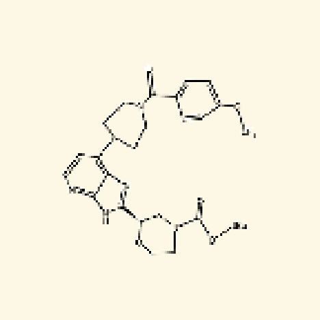 CC(C)(C)OC(=O)N1CCO[C@@H](c2nc3c(C4CCN(C(=O)c5ccc(OC(F)(F)F)cc5)CC4)ccnc3[nH]2)C1